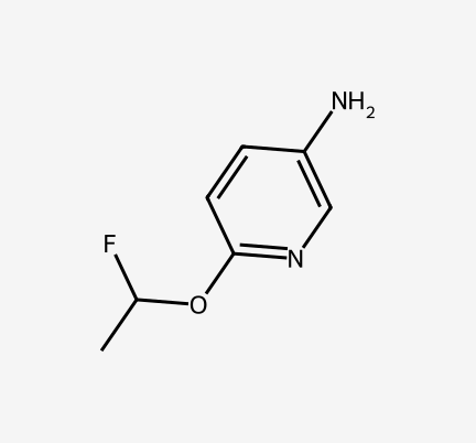 CC(F)Oc1ccc(N)cn1